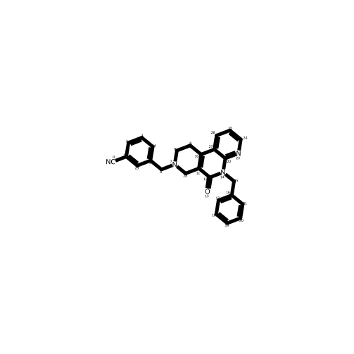 N#Cc1cccc(CN2CCc3c(c(=O)n(Cc4ccccc4)c4ncccc34)C2)c1